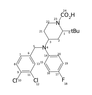 CC(C)(C)C1CC(N(Cc2ccc(Cl)c(Cl)c2)c2ccc(F)cc2)CCN1C(=O)O